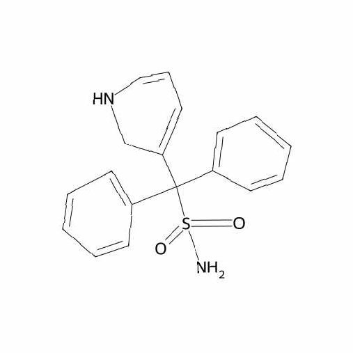 NS(=O)(=O)C(C1=CC=CNC1)(c1ccccc1)c1ccccc1